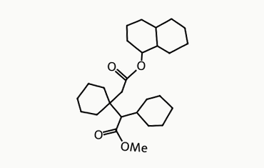 COC(=O)C(C1CCCCC1)C1(CC(=O)OC2CCCC3CCCCC32)CCCCC1